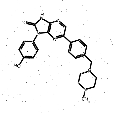 CN1CCN(Cc2ccc(-c3cnc4[nH]c(=O)n(-c5ccc(O)cc5)c4n3)cc2)CC1